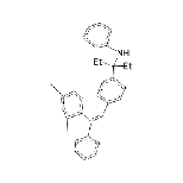 CCC(CC)(Nc1ccccc1)c1ccc(C=C(c2ccccc2)c2ccc(C)cc2C)cc1